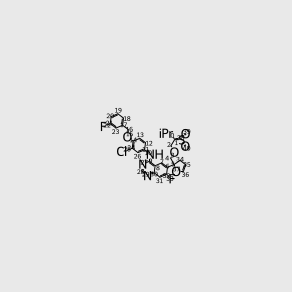 CC(C)C(COCC1(c2cc3c(Nc4ccc(OCc5cccc(F)c5)c(Cl)c4)ncnc3cc2F)CC=CO1)=S(=O)=O